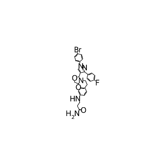 NC(=O)CCNc1ccc(CCN2C(=O)COC2c2cn(-c3ccc(Br)cc3)nc2-c2ccc(F)cc2)cc1